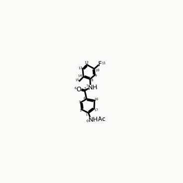 CC(=O)Nc1ccc(C(=O)Nc2cc(F)ccc2C)cc1